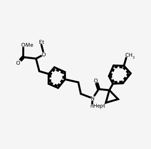 CCCCCCCN(CCc1ccc(CC(OCC)C(=O)OC)cc1)C(=O)C1(c2ccc(C)cc2)CC1